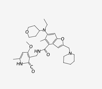 CCN(c1cc2oc(CN3CCCCC3)cc2c(C(=O)NCC2=C(OC)C=C(C)NC2=C=O)c1C)C1CCOCC1